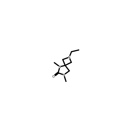 CCN1CC2(C1)CN(C)C(=O)N2C